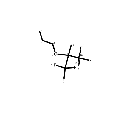 CCCOC(C)(C(F)(F)F)C(F)(F)F